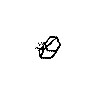 NC12CC3CC(C1)C(F)(F)C(C3)C2